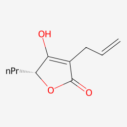 C=CCC1=C(O)[C@@H](CCC)OC1=O